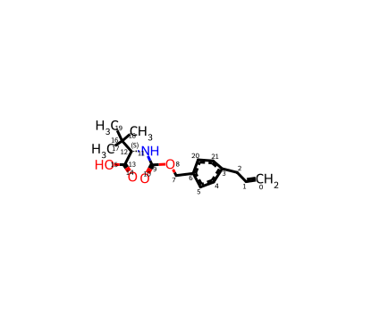 C=CCc1ccc(COC(=O)N[C@H](C(=O)O)C(C)(C)C)cc1